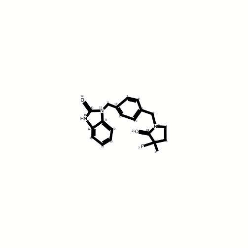 CC1(F)CCN(Cc2ccc(Cn3c(=O)[nH]c4ccccc43)cc2)C1=O